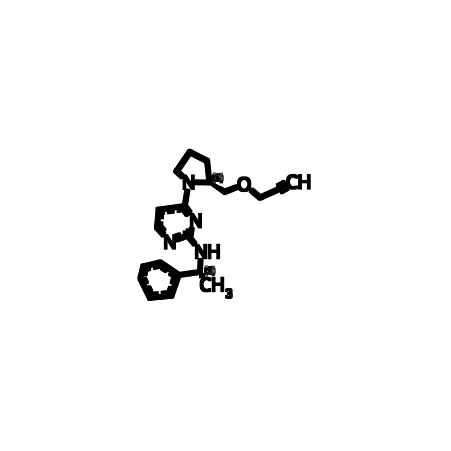 C#CCOC[C@@H]1CCCN1c1ccnc(N[C@@H](C)c2ccccc2)n1